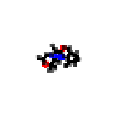 Cc1cccc(C)c1NC(=O)C(C)N1CC(C)OC(C)(C)C1C